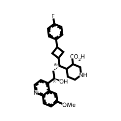 COc1ccc2nccc([C@H](O)C[C@H](C3CC(c4ccc(F)cc4)C3)C3CCNCC3C(=O)O)c2c1